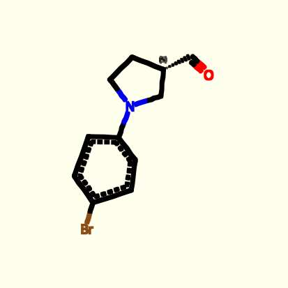 O=C[C@H]1CCN(c2ccc(Br)cc2)C1